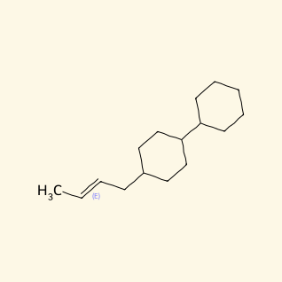 C/C=C/CC1CCC(C2CCCCC2)CC1